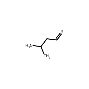 CC(C)CC=S